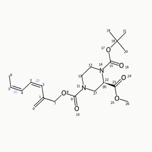 C=C(/C=C\C=C/C)COC(=O)N1CCN(C(=O)OC(C)(C)C)[C@@H](C(=O)OC)C1